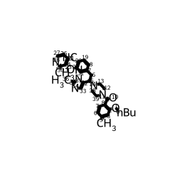 CCCCOc1cc(C)ccc1C(=O)N1CCN(C(Cc2ccc(C#N)c(Oc3cccnc3C)c2)c2cnc(C)[nH]2)CC1